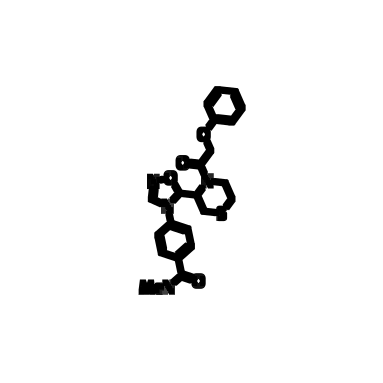 CNC(=O)c1ccc(N2C=NOC2C2CSCCN2C(=O)COc2ccccc2)cc1